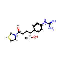 N=C(N)Nc1ccc(CCCC(=O)N2CCSC2)cc1.O=C(O)O